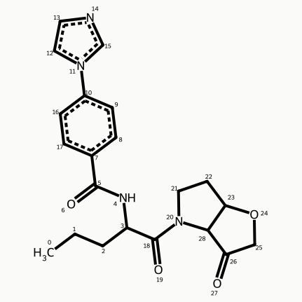 CCCC(NC(=O)c1ccc(-n2ccnc2)cc1)C(=O)N1CCC2OCC(=O)C21